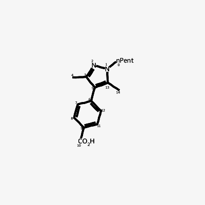 CCCCCn1nc(C)c(-c2ccc(C(=O)O)cc2)c1C